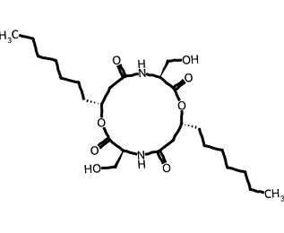 CCCCCCC[C@@H]1CC(=O)N[C@@H](CO)C(=O)O[C@H](CCCCCCC)CC(=O)N[C@@H](CO)C(=O)O1